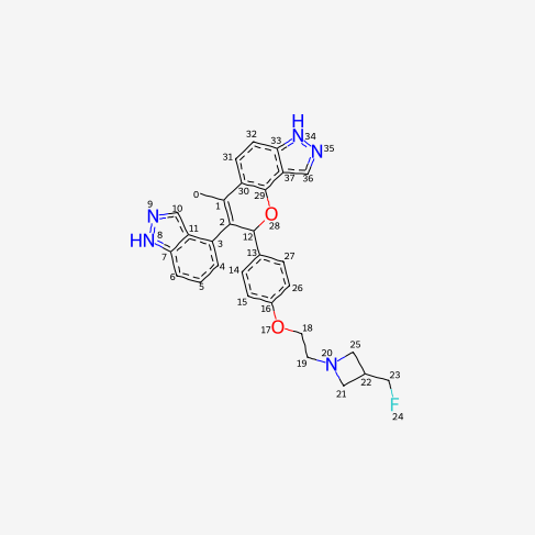 CC1=C(c2cccc3[nH]ncc23)C(c2ccc(OCCN3CC(CF)C3)cc2)Oc2c1ccc1[nH]ncc21